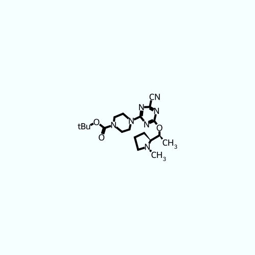 C[C@H](Oc1nc(C#N)nc(N2CCN(C(=O)OC(C)(C)C)CC2)n1)[C@@H]1CCCN1C